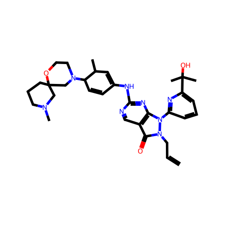 C=CCn1c(=O)c2cnc(NC3=CC(C)C(N4CCOC5(CCCN(C)C5)C4)C=C3)nc2n1-c1cccc(C(C)(C)O)n1